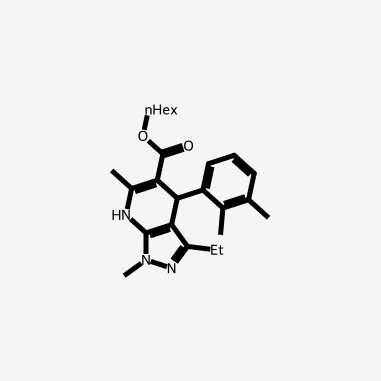 CCCCCCOC(=O)C1=C(C)Nc2c(c(CC)nn2C)C1c1cccc(C)c1C